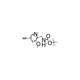 C#Cc1cnc(CNC(=O)OC(C)(C)C)c(OC)c1